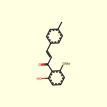 COc1cccc(O)c1C(=O)C=Cc1ccc(C)cc1